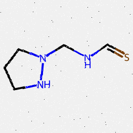 S=CNCN1CCCN1